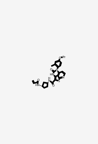 C=CC(=O)N[C@H]1CC[C@@H](NC(=O)c2sc3nccc4c3c2NC(=O)N4c2ccc(OC(C)C)cc2C)C1